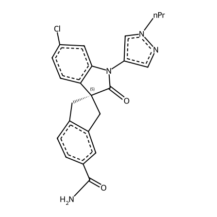 CCCn1cc(N2C(=O)[C@]3(Cc4ccc(C(N)=O)cc4C3)c3ccc(Cl)cc32)cn1